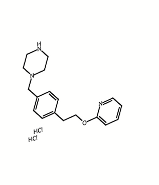 Cl.Cl.c1ccc(OCCc2ccc(CN3CCNCC3)cc2)nc1